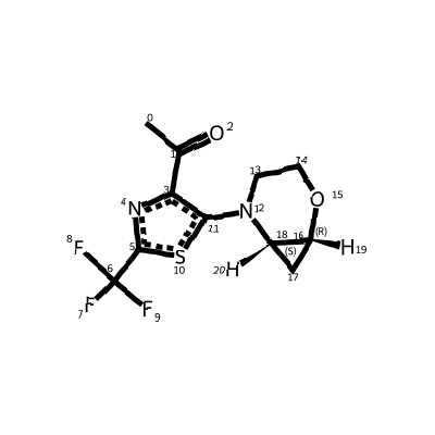 CC(=O)c1nc(C(F)(F)F)sc1N1CCO[C@@H]2C[C@@H]21